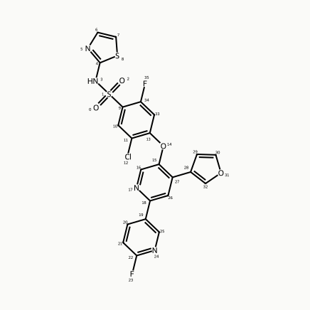 O=S(=O)(Nc1nccs1)c1cc(Cl)c(Oc2cnc(-c3ccc(F)nc3)cc2-c2ccoc2)cc1F